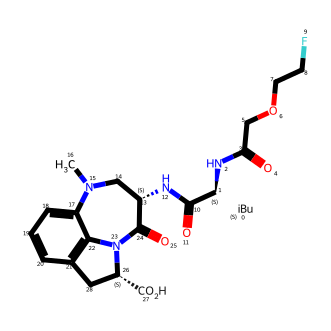 CC[C@H](C)[C@H](NC(=O)COCCF)C(=O)N[C@H]1CN(C)c2cccc3c2N(C1=O)[C@H](C(=O)O)C3